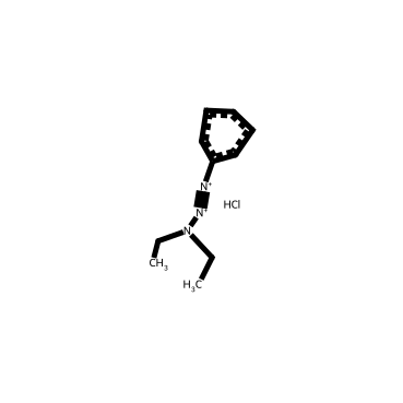 CCN(CC)[N+]#[N+]c1ccccc1.Cl